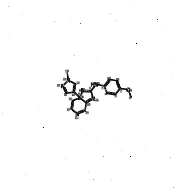 COc1ccc(NC2=N[N+]3(c4cnn(C)c4)C=CN=CC3=N2)cc1